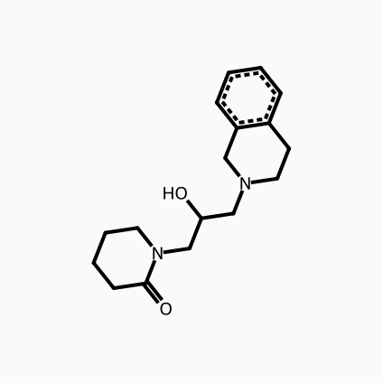 O=C1CCCCN1CC(O)CN1CCc2ccccc2C1